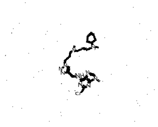 CN(CCCN(C)C1CCCCC1)CCCn1cc(CNc2nc(Cl)nc3c2ncn3C)nn1